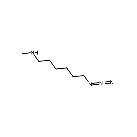 CNCCCCCCN=[N+]=[N-]